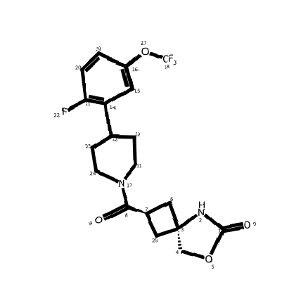 O=C1N[C@]2(CO1)C[C@H](C(=O)N1CCC(c3cc(OC(F)(F)F)ccc3F)CC1)C2